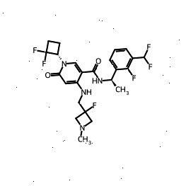 C[C@@H](NC(=O)c1cn([C@H]2CCC2(F)F)c(=O)cc1NCC1(F)CN(C)C1)c1cccc(C(F)F)c1F